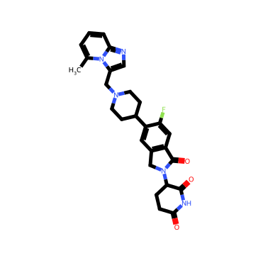 Cc1cccc2ncc(CN3CCC(c4cc5c(cc4F)C(=O)N(C4CCC(=O)NC4=O)C5)CC3)n12